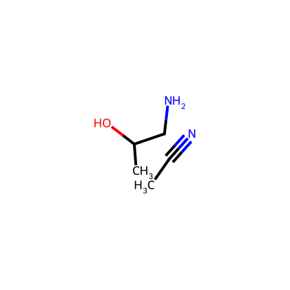 CC#N.CC(O)CN